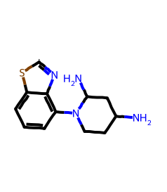 NC1CCN(c2cccc3s[c]nc23)C(N)C1